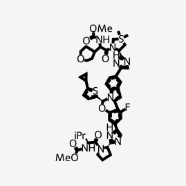 COC(=O)NC(C(=O)N1CS(C)(C)C[C@H]1c1ncc(-c2ccc3c(c2)cc2n3[C@H](c3ccc(C4CC4)s3)Oc3cc(-c4cnc([C@@H]5CCCN5C(=O)[C@@H](NC(=O)OC)C(C)C)[nH]4)cc(F)c3-2)[nH]1)C1CCOCC1